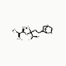 C=C(C(=O)OC(OCC1CC2CCC1C2)(C(F)F)C(F)(F)F)C(F)(F)F